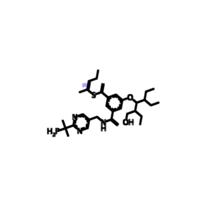 C=C(NCc1cnc(C(C)(C)P)nc1)c1cc(OC(C(CC)CC)C(CC)CO)cc(C(=C)S/C(C)=C\CC)c1